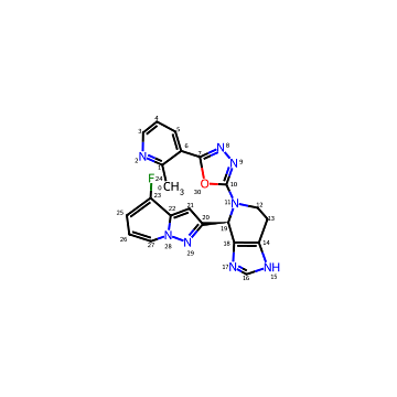 Cc1ncccc1-c1nnc(N2CCc3[nH]cnc3[C@H]2c2cc3c(F)cccn3n2)o1